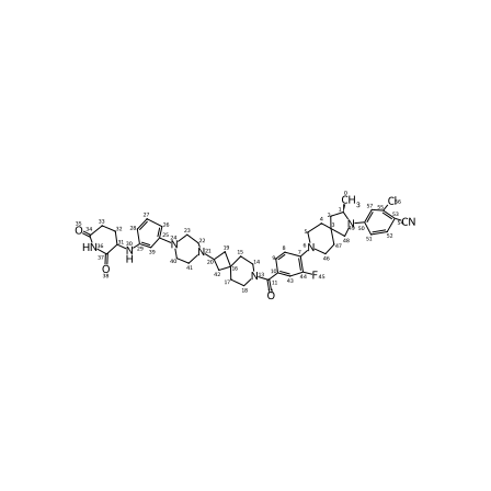 C[C@@H]1CC2(CCN(c3ccc(C(=O)N4CCC5(CC4)CC(N4CCN(c6cccc(NC7CCC(=O)NC7=O)c6)CC4)C5)cc3F)CC2)CN1c1ccc(C#N)c(Cl)c1